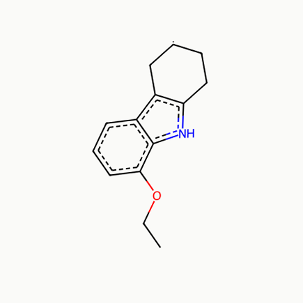 CCOc1cccc2c3c([nH]c12)CC[CH]C3